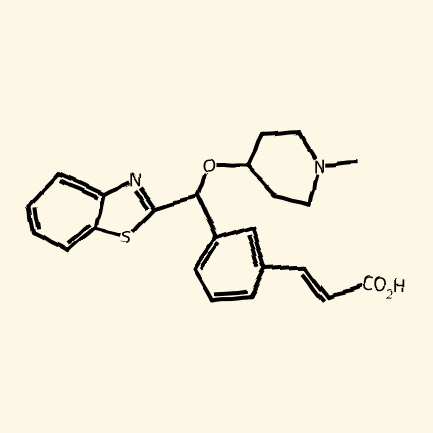 CN1CCC(OC(c2cccc(/C=C/C(=O)O)c2)c2nc3ccccc3s2)CC1